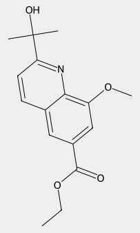 CCOC(=O)c1cc(OC)c2nc(C(C)(C)O)ccc2c1